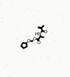 C=C(C)C(=O)NC(C)C(=O)OCOC1CCCC1